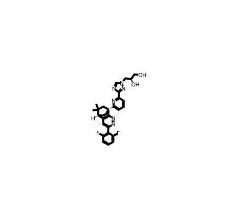 CC1(C)C[C@]2(c3cccc(-c4ncn(C[C@H](O)CO)n4)n3)CC[C@H]1c1cc(-c3c(F)cccc3F)nnc12